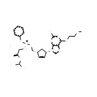 COCCNc1nc(N)nc2c1ncn2[C@H]1C=C[C@@H](CO[P@](=O)(N[C@@H](C)C(=O)OC(C)C)Oc2ccccc2)C1